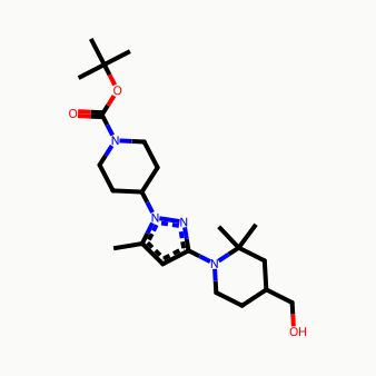 Cc1cc(N2CCC(CO)CC2(C)C)nn1C1CCN(C(=O)OC(C)(C)C)CC1